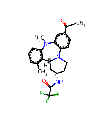 CC(=O)c1ccc2c(c1)N(C)c1cccc(C)c1[C@H]1C[C@@H](NC(=O)C(F)(F)F)CCN21